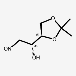 CC1(C)OC[C@H]([C@H](O)CN=O)O1